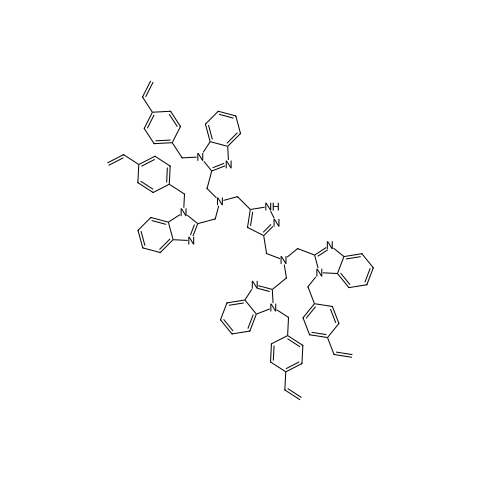 C=Cc1ccc(Cn2c(CN(Cc3cc(CN(Cc4nc5ccccc5n4Cc4ccc(C=C)cc4)Cc4nc5ccccc5n4Cc4ccc(C=C)cc4)[nH]n3)Cc3nc4ccccc4n3Cc3ccc(C=C)cc3)nc3ccccc32)cc1